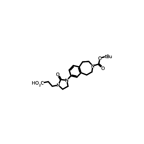 CC(C)(C)OC(=O)N1CCc2ccc(N3CCN(CCC(=O)O)C3=O)cc2CC1